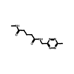 CNC(=O)CCCC(=O)NCc1nnc(C)nn1